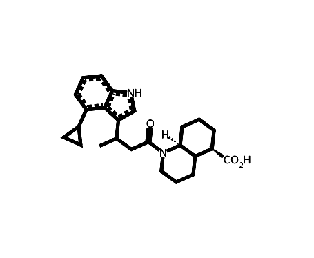 CC(CC(=O)N1CCCC2[C@H](C(=O)O)CCC[C@@H]21)c1c[nH]c2cccc(C3CC3)c12